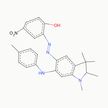 Cc1ccc(Nc2cc3c(cc2N=Nc2cc([N+](=O)[O-])ccc2O)C(C)(C)C(C)N3C)cc1